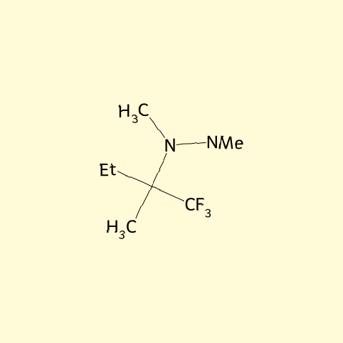 CCC(C)(N(C)NC)C(F)(F)F